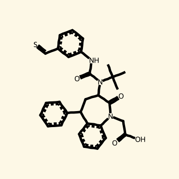 CC(C)(C)N(C(=O)Nc1cccc(C=S)c1)C1CC(c2ccccc2)c2ccccc2N(CC(=O)O)C1=O